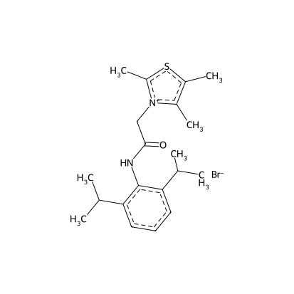 Cc1sc(C)[n+](CC(=O)Nc2c(C(C)C)cccc2C(C)C)c1C.[Br-]